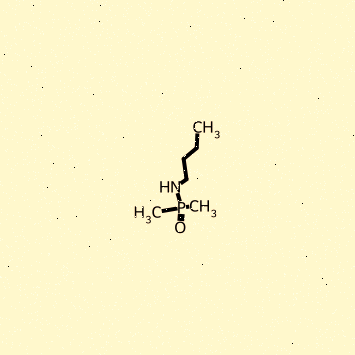 CCCCNP(C)(C)=O